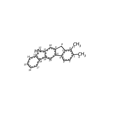 Cc1ccc2c(c1C)Cc1cc3[nH]c4ccccc4c3cc1-2